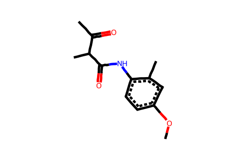 COc1ccc(NC(=O)C(C)C(C)=O)c(C)c1